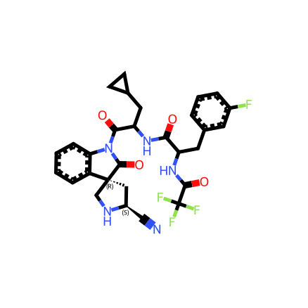 N#C[C@@H]1C[C@@]2(CN1)C(=O)N(C(=O)C(CC1CC1)NC(=O)C(Cc1cccc(F)c1)NC(=O)C(F)(F)F)c1ccccc12